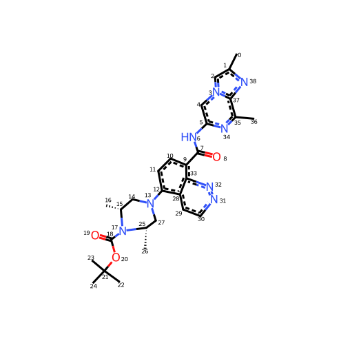 Cc1cn2cc(NC(=O)c3ccc(N4C[C@@H](C)N(C(=O)OC(C)(C)C)[C@@H](C)C4)c4ccnnc34)nc(C)c2n1